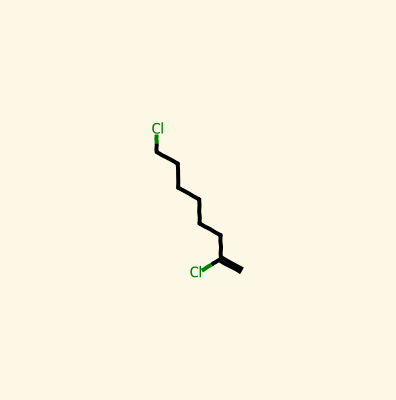 C=C(Cl)CCCCCCCl